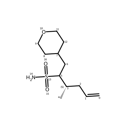 C=CC[C@H](C)C(CC1CCOCC1)S(N)(=O)=O